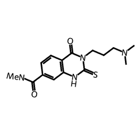 CNC(=O)c1ccc2c(=O)n(CCCN(C)C)c(=S)[nH]c2c1